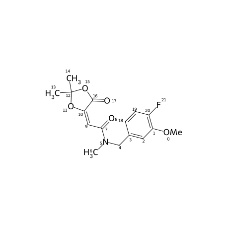 COc1cc(CN(C)C(=O)C=C2OC(C)(C)OC2=O)ccc1F